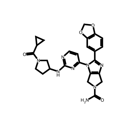 NC(=O)N1Cc2nc(-c3ccc4c(c3)OCO4)n(-c3ccnc(NC4CCN(C(=O)C5CC5)C4)n3)c2C1